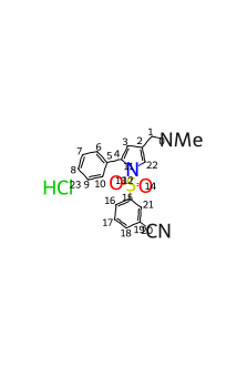 CNCc1cc(-c2ccccc2)n(S(=O)(=O)c2cccc(C#N)c2)c1.Cl